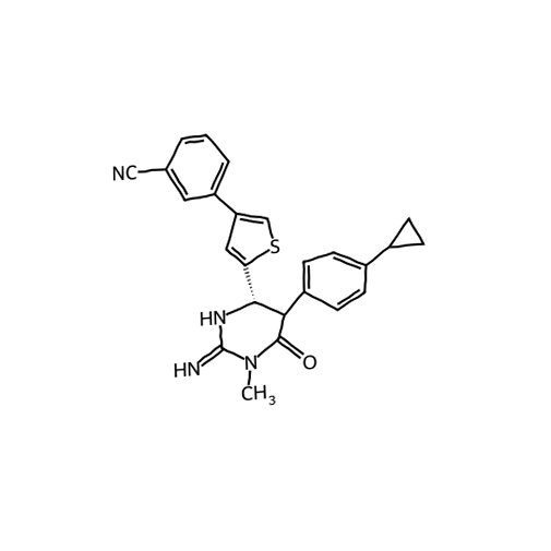 CN1C(=N)N[C@H](c2cc(-c3cccc(C#N)c3)cs2)C(c2ccc(C3CC3)cc2)C1=O